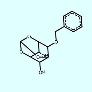 OC1C2OC3OC1C(OCc1ccccc1)C(O3)C2O